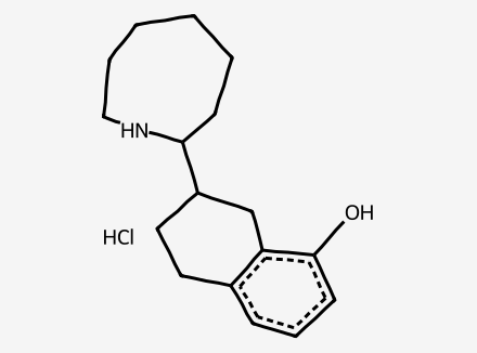 Cl.Oc1cccc2c1CC(C1CCCCCCN1)CC2